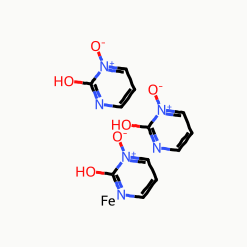 [Fe].[O-][n+]1cccnc1O.[O-][n+]1cccnc1O.[O-][n+]1cccnc1O